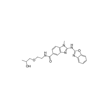 CC(O)COCCNC(=O)c1ccc2c(c1)nc(Nc1nc3ccccc3o1)n2C